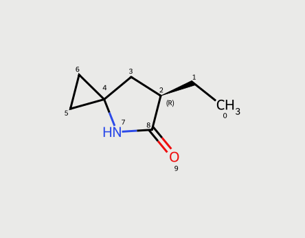 CC[C@@H]1CC2(CC2)NC1=O